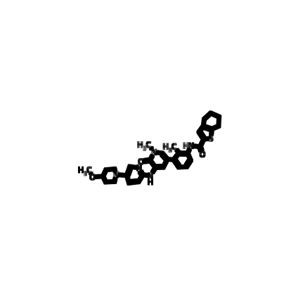 COC1CCN(c2ccc(Nc3cc(-c4cccc(NC(=O)c5cc6c(s5)CCCC6)c4C)cn(C)c3=O)nc2)CC1